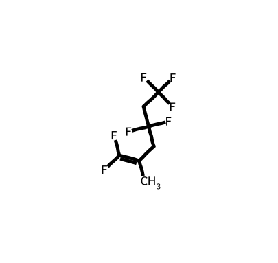 CC(CC(F)(F)CC(F)(F)F)=C(F)F